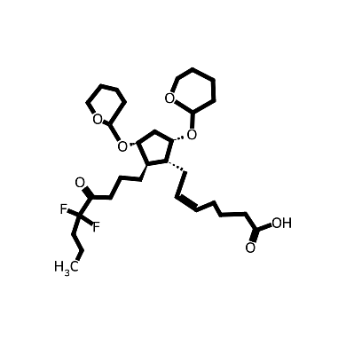 CCCC(F)(F)C(=O)CCC[C@@H]1[C@@H](C/C=C\CCCC(=O)O)[C@@H](OC2CCCCO2)C[C@H]1OC1CCCCO1